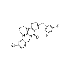 CCc1ccc(CN2C(=O)C3=C(CCN(Cc4cc(F)cc(F)c4)C3)N3CCCN=C23)cc1